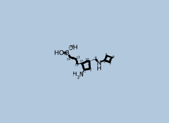 N[C@H]1C[C@@H](CNC2CCC2)C[C@@H]1CCCB(O)O